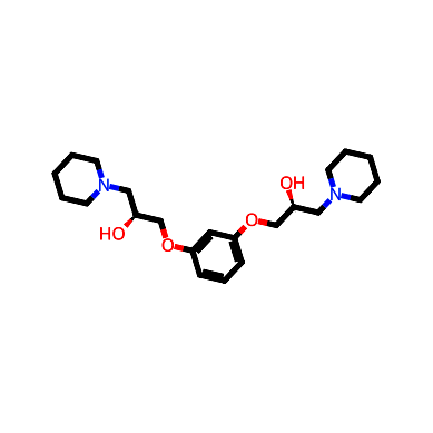 O[C@H](COc1cccc(OC[C@@H](O)CN2CCCCC2)c1)CN1CCCCC1